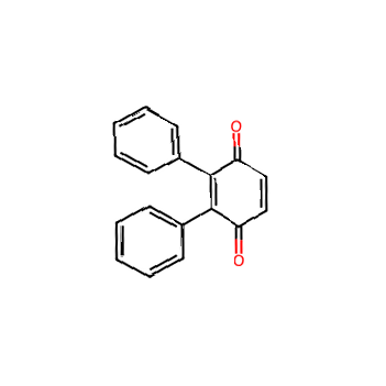 O=C1C=CC(=O)C(c2ccccc2)=C1c1ccccc1